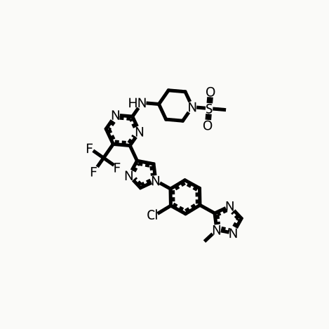 Cn1ncnc1-c1ccc(-n2cnc(-c3nc(NC4CCN(S(C)(=O)=O)CC4)ncc3C(F)(F)F)c2)c(Cl)c1